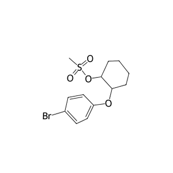 CS(=O)(=O)OC1CCCCC1Oc1ccc(Br)cc1